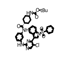 CC(C)(C)OC(=O)N[C@H]1CC[C@H](C(=O)Nc2cccc(Nc3ncc(Cl)c(-c4cn(S(=O)(=O)c5ccccc5)c5ccccc45)n3)c2)CC1